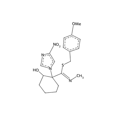 CN=C(SCc1ccc(OC)cc1)C1(n2cnc([N+](=O)[O-])c2)CCCCC1O